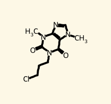 Cn1cnc2c1c(=O)n(CCCCl)c(=O)n2C